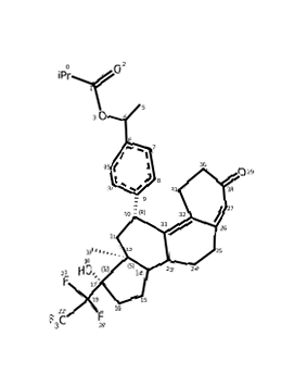 CC(C)C(=O)OC(C)c1ccc([C@H]2C[C@@]3(C)C(CC[C@@]3(O)C(F)(F)C(F)(F)F)C3CCC4=CC(=O)CCC4=C32)cc1